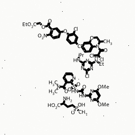 CC1COc2ccccc2N1C(=O)C(Cl)Cl.CCNc1nc(Cl)nc(NC(C)C)n1.CCOC(=O)COC(=O)c1cc(Oc2ccc(C(F)(F)F)cc2Cl)ccc1[N+](=O)[O-].COc1cc(OC)nc(NC(=O)NS(=O)(=O)c2ncccc2C(=O)N(C)C)n1.CP(=O)(O)CCC(N)C(=O)O